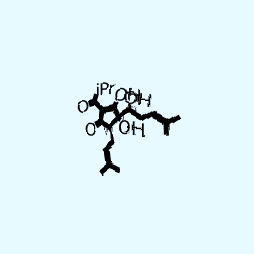 CC(C)=CC[C@H](O)[C@@]1(O)C(O)=C(C(=O)C(C)C)C(=O)[C@@H]1CC=C(C)C